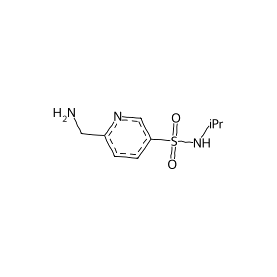 CC(C)NS(=O)(=O)c1ccc(CN)nc1